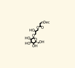 CCCCCCCCCCCC(=O)OCC(O)CO[C@@H]1O[C@H](CO)[C@@H](O)[C@H](O)[C@H]1O